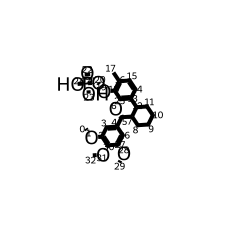 COc1cc(C(=O)C2CCCCC2c2ccc(C)c(OOP(=O)(O)O)c2)cc(OC)c1OC